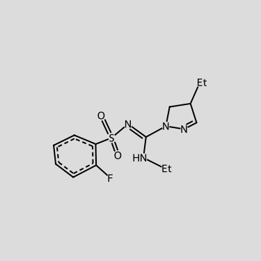 CCN/C(=N\S(=O)(=O)c1ccccc1F)N1CC(CC)C=N1